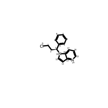 ClCC[C@@H](c1ccccc1)n1ccc2ncccc21